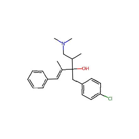 CC(=Cc1ccccc1)C(O)(Cc1ccc(Cl)cc1)C(C)CN(C)C